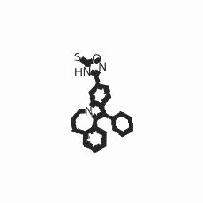 S=c1[nH]c(-c2ccc3c(C4CCCCC4)c4n(c3c2)CCCc2ccccc2-4)no1